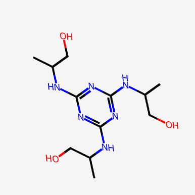 CC(CO)Nc1nc(NC(C)CO)nc(NC(C)CO)n1